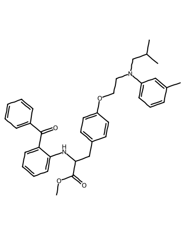 COC(=O)C(Cc1ccc(OCCN(CC(C)C)c2cccc(C)c2)cc1)Nc1ccccc1C(=O)c1ccccc1